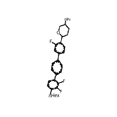 CCCCCCc1ccc(-c2ccc(-c3ccc(C4CCC(CCC)CO4)c(F)c3)cc2)c(F)c1F